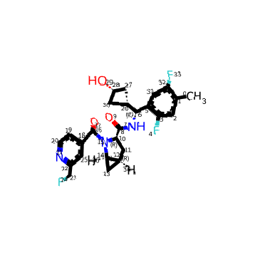 Cc1cc(F)c([C@H](NC(=O)[C@H]2C[C@H]3C[C@H]3N2C(=O)c2ccnc(CF)c2)[C@H]2C[C@@H](O)C2)cc1F